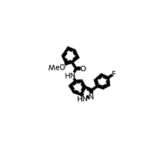 COc1ccccc1C(=O)Nc1ccc2[nH]nc(-c3ccc(F)cc3)c2c1